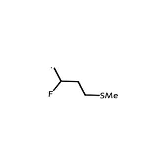 [CH2]C(F)CCSC